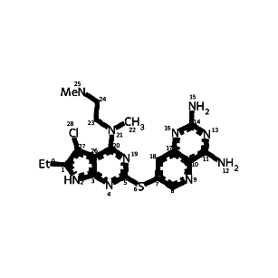 CCc1[nH]c2nc(Sc3cnc4c(N)nc(N)nc4c3)nc(N(C)CCNC)c2c1Cl